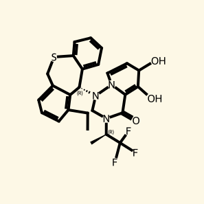 CCc1cccc2c1[C@@H](N1CN([C@H](C)C(F)(F)F)C(=O)C3=C(O)C(O)C=CN31)c1ccccc1SC2